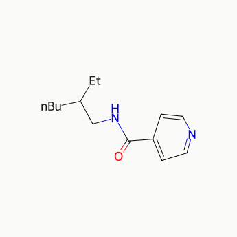 CCCCC(CC)CNC(=O)c1ccncc1